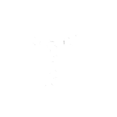 O=C(O)c1ccc(CNC(=O)c2ccc(-c3ccccc3)c3ccn(Cc4ccc(C(F)(F)F)cc4)c23)cc1